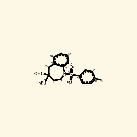 CCCCC1(C=O)CCN(S(=O)(=O)c2ccc(C)cc2)c2ccccc2C1